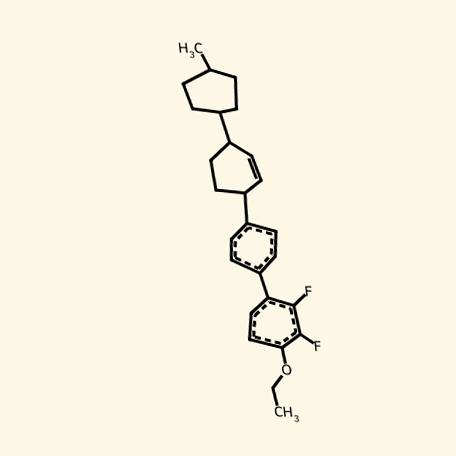 CCOc1ccc(-c2ccc(C3C=CC(C4CCC(C)CC4)CC3)cc2)c(F)c1F